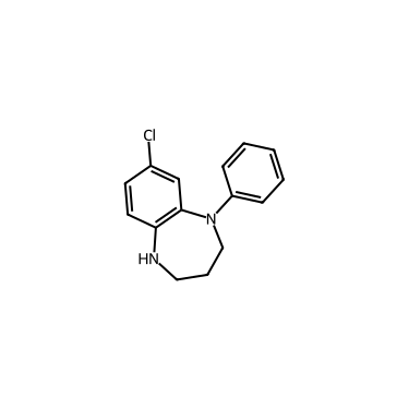 Clc1ccc2c(c1)N(c1ccccc1)CCCN2